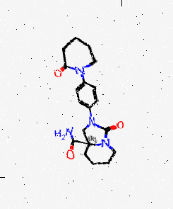 NC(=O)[C@]12[CH]CCCN1C(=O)N(c1ccc(N3CCCCC3=O)cc1)C2